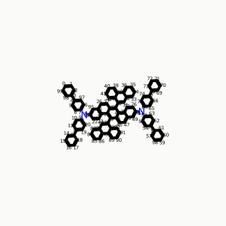 c1ccc(-c2ccc(N(c3ccc(-c4ccccc4)cc3)c3ccc4c(ccc5c(-c6cc7ccccc7c7ccccc67)c6c(ccc7cc(N(c8ccc(-c9ccccc9)cc8)c8ccc(-c9ccccc9)cc8)ccc76)c(-c6cc7ccccc7c7ccccc67)c54)c3)cc2)cc1